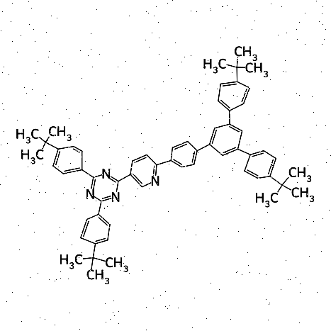 CC(C)(C)c1ccc(-c2cc(-c3ccc(-c4ccc(-c5nc(-c6ccc(C(C)(C)C)cc6)nc(-c6ccc(C(C)(C)C)cc6)n5)cn4)cc3)cc(-c3ccc(C(C)(C)C)cc3)c2)cc1